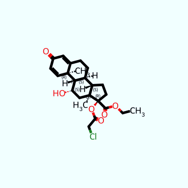 CCOC(=O)[C@@]1(OC(=O)CCl)CC[C@H]2[C@@H]3CCC4=CC(=O)C=C[C@]4(C)[C@H]3[C@@H](O)C[C@@]21C